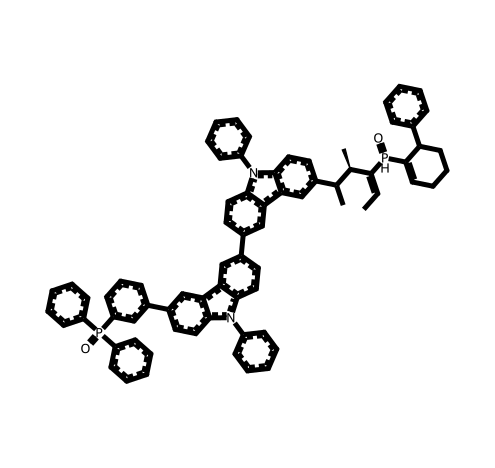 C/C=C(\[C@H](C)C(C)c1ccc2c(c1)c1cc(-c3ccc4c(c3)c3cc(-c5cccc(P(=O)(c6ccccc6)c6ccccc6)c5)ccc3n4-c3ccccc3)ccc1n2-c1ccccc1)[PH](=O)C1=CCCCC1c1ccccc1